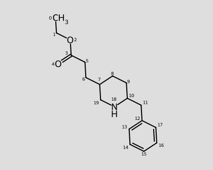 CCOC(=O)CCC1CCC(Cc2ccccc2)NC1